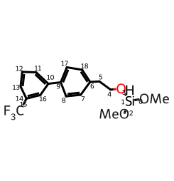 CO[SiH](OC)OCCc1ccc(-c2cccc(C(F)(F)F)c2)cc1